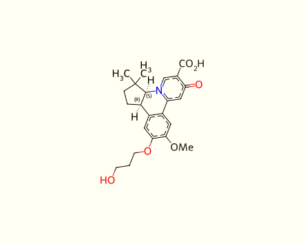 COc1cc2c(cc1OCCCO)[C@H]1CCC(C)(C)[C@H]1n1cc(C(=O)O)c(=O)cc1-2